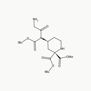 COC(=O)[C@@]1(C(=O)OC(C)(C)C)C[C@@H](N(C(=O)CN)C(=O)OC(C)(C)C)CCN1